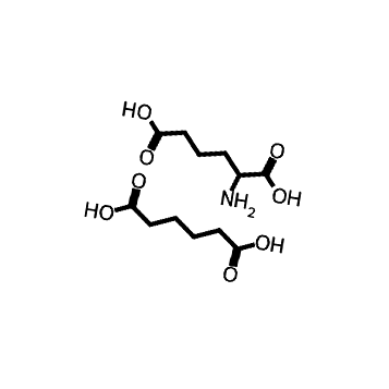 NC(CCCC(=O)O)C(=O)O.O=C(O)CCCCC(=O)O